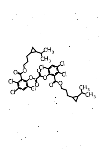 CC(C)C1CC1CCCOC(=O)c1c(Cl)c(Cl)cc(Cl)c1OC(=O)C(=O)Oc1c(Cl)cc(Cl)c(Cl)c1C(=O)OCCCC1CC1C(C)C